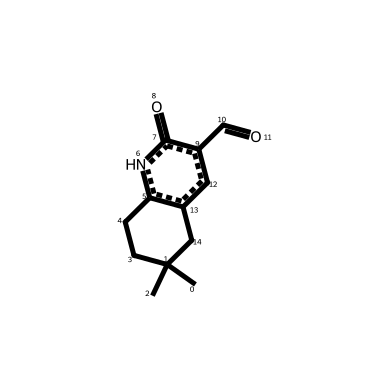 CC1(C)CCc2[nH]c(=O)c(C=O)cc2C1